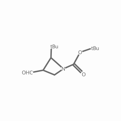 CC(C)(C)OC(=O)N1CC(C=O)C1C(C)(C)C